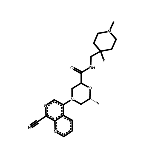 C[C@@H]1CN(c2cnc(C#N)c3ncccc23)CC(C(=O)NCC2(F)CCN(C)CC2)O1